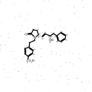 O=C(O)c1ccc(CCN2C(=O)CC[C@@H]2C=C[C@@H](O)Cc2ccccc2)cc1